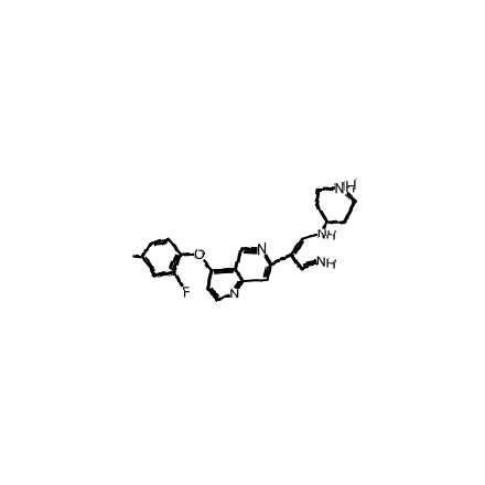 Cc1ccc(Oc2ccnc3cc(/C(C=N)=C/NC4CCNCC4)ncc23)c(F)c1